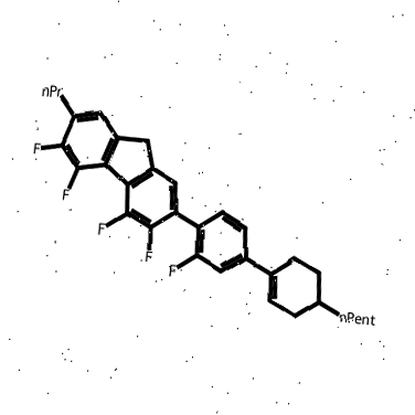 CCCCCC1CC=C(c2ccc(-c3cc4c(c(F)c3F)-c3c(cc(CCC)c(F)c3F)C4)c(F)c2)CC1